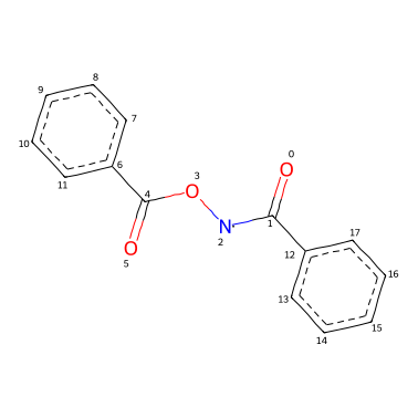 O=C([N]OC(=O)c1ccccc1)c1ccccc1